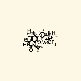 COc1c(N2CCC(C(N)C(F)(F)C(F)(F)F)C2)c(F)c(C)c2c(=O)[nH]c(=O)n(C3CC3)c12